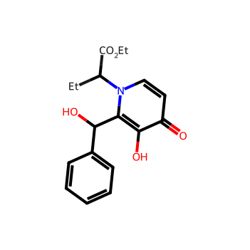 CCOC(=O)C(CC)n1ccc(=O)c(O)c1C(O)c1ccccc1